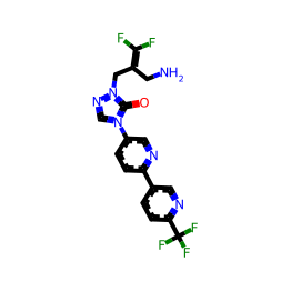 NCC(Cn1ncn(-c2ccc(-c3ccc(C(F)(F)F)nc3)nc2)c1=O)=C(F)F